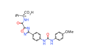 COc1ccc(NC(=O)Nc2ccc(-c3noc(C(=O)N[C@H](C(=O)O)C(C)C)n3)cc2)cc1